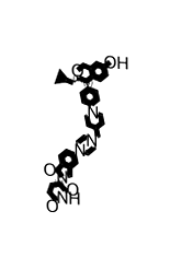 O=C1CC[C@H](N2Cc3cc(N4CCN(CC5CCN(c6ccc([C@H]7c8ccc(O)cc8CO[C@H]7CC7CC7)cc6)CC5)CC4)ccc3C2=O)C(=O)N1